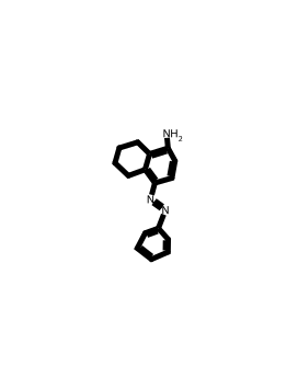 Nc1ccc(/N=N/c2ccccc2)c2c1CCCC2